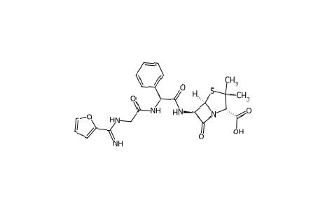 CC1(C)S[C@@H]2[C@H](NC(=O)C(NC(=O)CNC(=N)c3ccco3)c3ccccc3)C(=O)N2[C@H]1C(=O)O